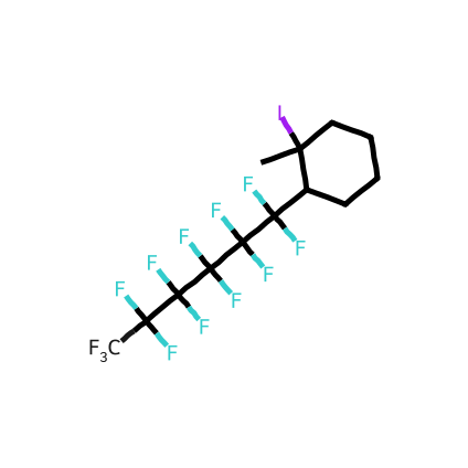 CC1(I)CCCCC1C(F)(F)C(F)(F)C(F)(F)C(F)(F)C(F)(F)C(F)(F)F